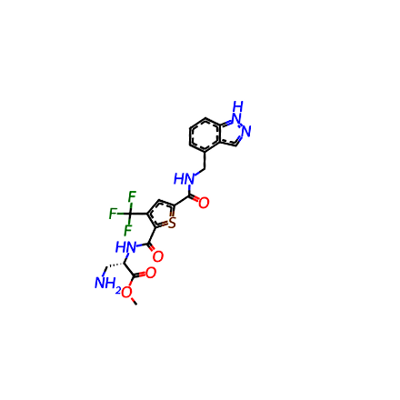 COC(=O)[C@H](CN)NC(=O)c1sc(C(=O)NCc2cccc3[nH]ncc23)cc1C(F)(F)F